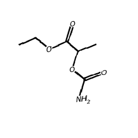 CCOC(=O)C(C)OC(N)=O